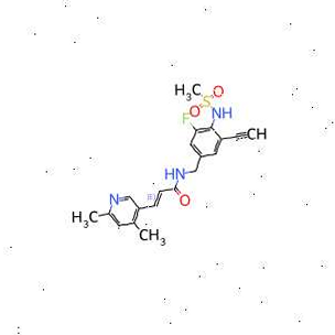 C#Cc1cc(CNC(=O)/C=C/c2cnc(C)cc2C)cc(F)c1NS(C)(=O)=O